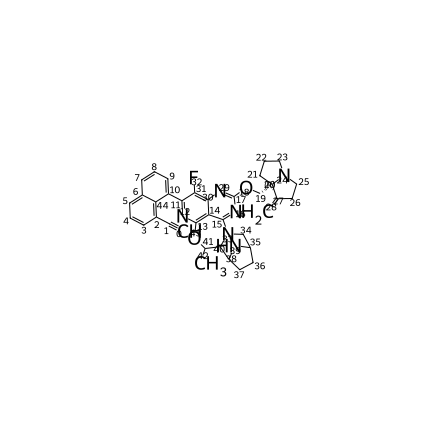 C#Cc1cccc2cccc(-c3nc4c5c(nc(OC[C@]67CCCN6CCC7=C)nc5c3F)N3CC5CCC(N5)C3C(C)O4)c12